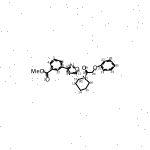 COC(=O)c1cccc(-c2noc([C@H]3CCCCN3C(=O)COc3ccccc3)n2)c1